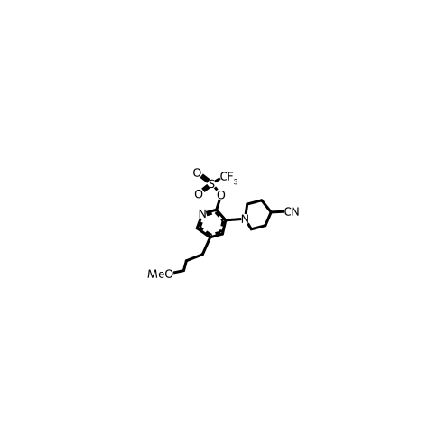 COCCCc1cnc(OS(=O)(=O)C(F)(F)F)c(N2CCC(C#N)CC2)c1